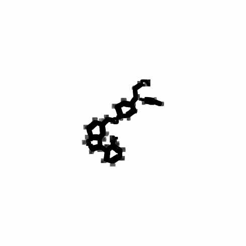 CC#C[C@@H](CC#N)c1ccc(OCc2ccc3scc(-c4ccccc4Br)c3c2)cc1